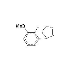 COc1cccc2c1CC1C=CC2C1